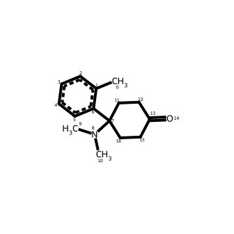 Cc1ccccc1C1(N(C)C)CCC(=O)CC1